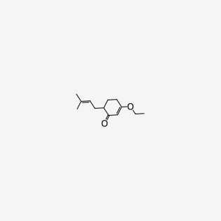 CCOC1=CC(=O)C(CC=C(C)C)CC1